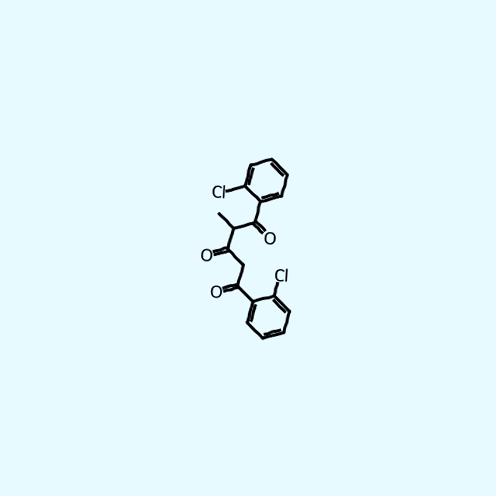 CC(C(=O)CC(=O)c1ccccc1Cl)C(=O)c1ccccc1Cl